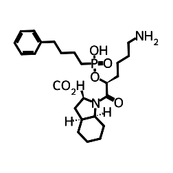 NCCCC[C@H](OP(=O)(O)CCCCc1ccccc1)C(=O)N1[C@H](C(=O)O)C[C@@H]2CCCC[C@@H]21